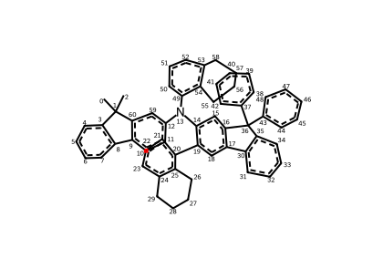 CC1(C)c2ccccc2-c2ccc(N(c3cc4c(cc3-c3cccc5c3CCCC5)-c3ccccc3C4(c3ccccc3)c3ccccc3)c3cccc4c3CCCC4)cc21